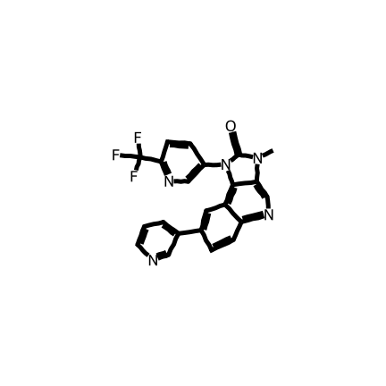 Cn1c(=O)n(-c2ccc(C(F)(F)F)nc2)c2c3cc(-c4cccnc4)ccc3ncc21